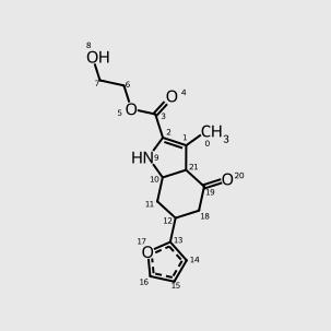 CC1=C(C(=O)OCCO)NC2CC(c3ccco3)CC(=O)C12